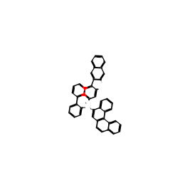 c1ccc(-c2ccccc2N(c2ccc3c(c2)sc2cc4ccccc4cc23)c2cc3ccc4ccccc4c3c3ccccc23)cc1